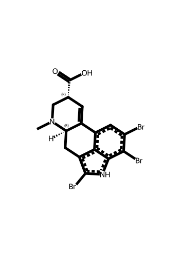 CN1C[C@H](C(=O)O)C=C2c3cc(Br)c(Br)c4[nH]c(Br)c(c34)C[C@H]21